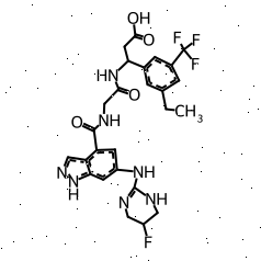 CCc1cc(C(CC(=O)O)NC(=O)CNC(=O)c2cc(NC3=NCC(F)CN3)cc3[nH]ncc23)cc(C(F)(F)F)c1